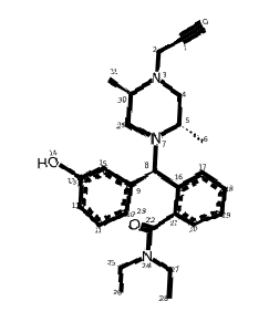 C#CCN1C[C@H](C)N([C@H](c2cccc(O)c2)c2ccccc2C(=O)N(CC)CC)C[C@H]1C